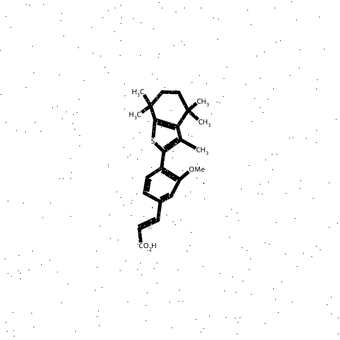 COc1cc(/C=C/C(=O)O)ccc1-c1sc2c(c1C)C(C)(C)CCC2(C)C